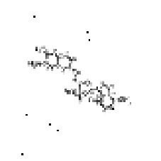 Nc1nc2cc(OC[C@H]3O[C@@H](n4ccc5c(N)ncnc54)[C@@]4(O)C[C@@]34O)ccc2cc1Br